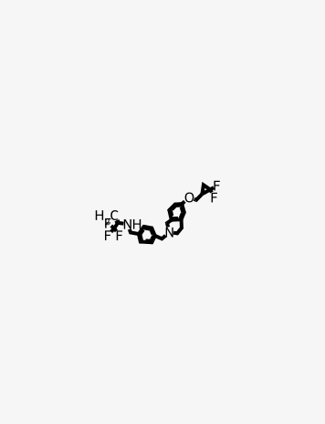 C=C(NCc1ccc(CN2CCc3cc(OCC4CC4(F)F)ccc3C2)cc1)C(F)(F)F